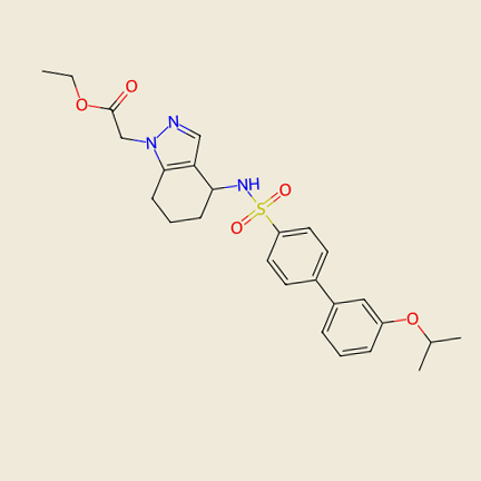 CCOC(=O)Cn1ncc2c1CCCC2NS(=O)(=O)c1ccc(-c2cccc(OC(C)C)c2)cc1